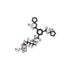 CC1(CC(=O)c2cc(C(=O)NS(=O)(=O)C(F)(F)C(F)(F)C(F)(F)S(=O)(=O)NS(C)(=O)=O)cc(C(=O)OC3(C)CCCC3)c2)CCCC1